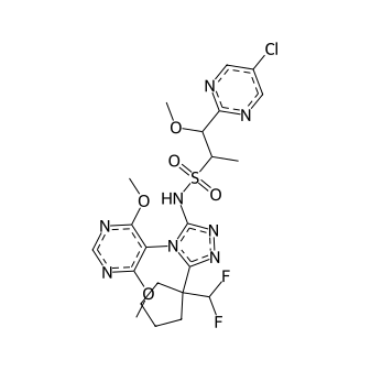 COc1ncnc(OC)c1-n1c(NS(=O)(=O)C(C)C(OC)c2ncc(Cl)cn2)nnc1C1(C(F)F)CCCC1